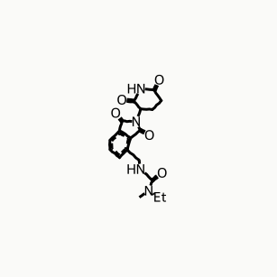 CCN(C)C(=O)NCc1cccc2c1C(=O)N(C1CCC(=O)NC1=O)C2=O